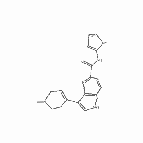 CN1CC=C(c2c[nH]c3ccc(C(=O)Nc4ccc[nH]4)nc23)CC1